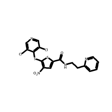 O=C(NCCc1ccccn1)c1cc([N+](=O)[O-])c(Sc2c(Cl)cncc2Cl)s1